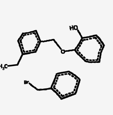 BrCc1ccccc1.CCc1cccc(COc2ccccc2O)c1